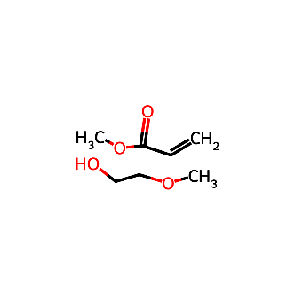 C=CC(=O)OC.COCCO